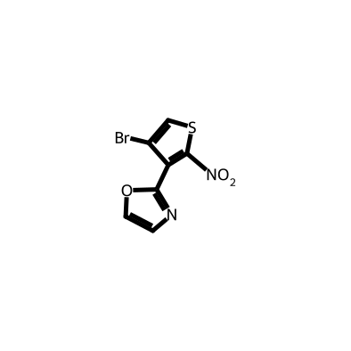 O=[N+]([O-])c1scc(Br)c1-c1ncco1